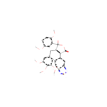 COc1ccc(OC)c(C2(O)OC(=O)C(c3ccc4nsnc4c3)=C2Cc2cc(OC)c(OC)c(OC)c2)c1